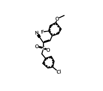 COc1ccc(/C=C(\C#N)S(=O)(=O)Cc2ccc(Cl)cc2)c(F)c1